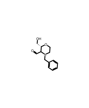 O=CC1[C@H](CO)OCCN1Cc1ccccc1